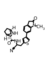 CN1C(=O)Cc2ccc(-c3csc(CC(C#N)NC(=O)[C@H]4N[C@@H]5CC[C@H]4C5)c3)cc21